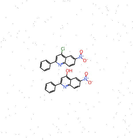 O=[N+]([O-])c1ccc2nc(-c3ccccc3)cc(Cl)c2c1.O=[N+]([O-])c1ccc2nc(-c3ccccc3)cc(O)c2c1